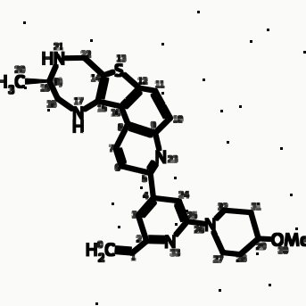 C=Cc1cc(-c2ccc3c(ccc4sc5c(c43)NC[C@@H](C)NC5)n2)cc(N2CCC(OC)CC2)n1